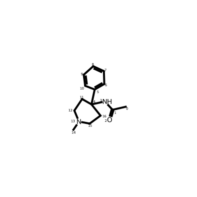 CC(=O)NC1(c2ccccc2)CCN(C)CC1